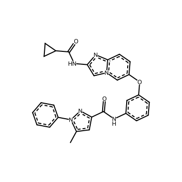 Cc1cc(C(=O)Nc2cccc(Oc3ccc4nc(NC(=O)C5CC5)cn4c3)c2)nn1-c1ccccc1